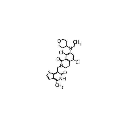 CCN(c1cc(Cl)c2c(c1Cl)C(=O)N(Cc1c(=O)[nH]c(C)c3ccsc13)CC2)C1CCOCC1